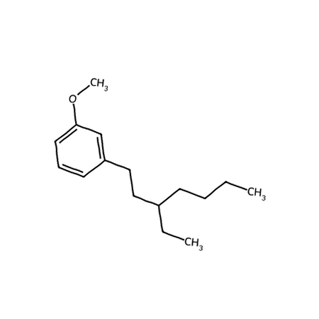 CCCCC(CC)CCc1cccc(OC)c1